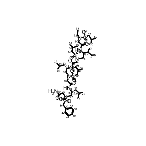 CCC(C)[C@@H](CN(CC(=O)N[C@@H](CC(C)C)CN(CC(=O)N[C@@H](CC(C)C)CN(CC(N)=O)S(=O)(=O)Cc1ccccc1)S(=O)(=O)CC(C)C)S(=O)(=O)CC(C)C)NC(=O)CN(CC)S(=O)(=O)CC(C)C